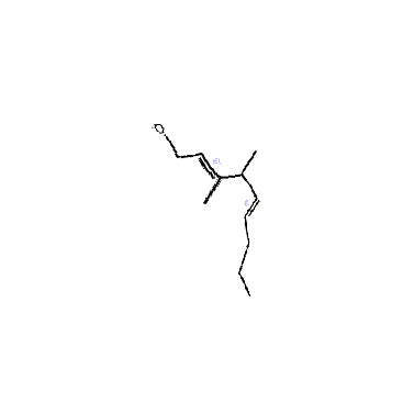 CCC/C=C/C(C)/C(C)=C/C[O]